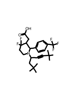 CC(C)(C)C#CC(CC(C)(C)C)N1CCC(F)(F)C(CC(=O)O)C1c1ccc(C(F)(F)F)cc1